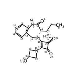 CC[C@H](C)[C@H]1C(=O)Nc2cnccc2CN1c1c(N2CC(O)C2)c(=O)c1=O